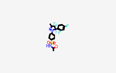 CC(=O)NS(=O)(=O)c1ccc(N2N=C(C)C(F)(F)C2(F)c2ccc(F)cc2F)cc1